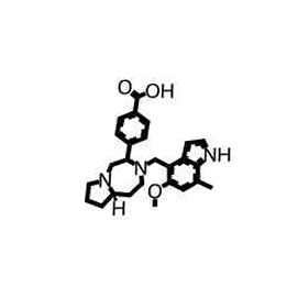 COc1cc(C)c2[nH]ccc2c1CN1CC[C@@H]2CCCN2CC1c1ccc(C(=O)O)cc1